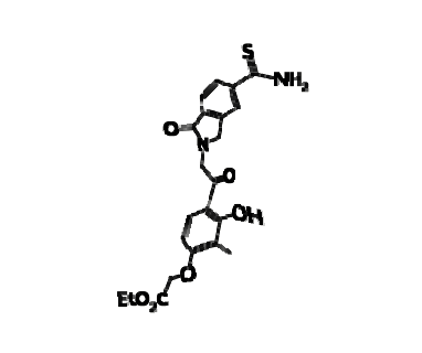 CCOC(=O)COc1ccc(C(=O)CN2Cc3cc(C(N)=S)ccc3C2=O)c(O)c1C